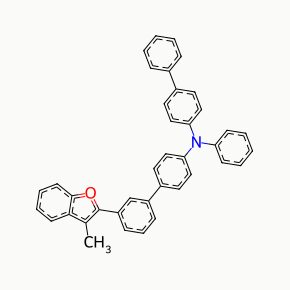 Cc1c(-c2cccc(-c3ccc(N(c4ccccc4)c4ccc(-c5ccccc5)cc4)cc3)c2)oc2ccccc12